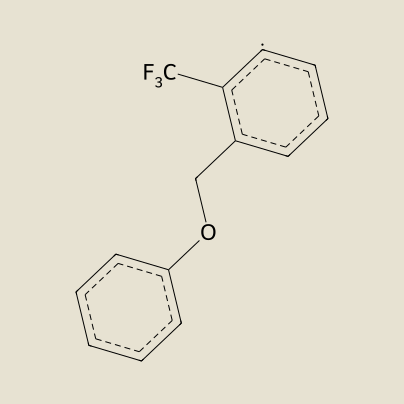 FC(F)(F)c1[c]cccc1COc1ccccc1